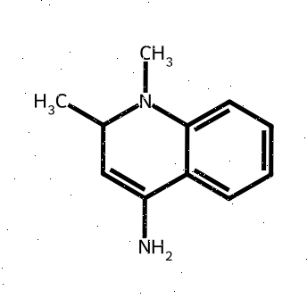 CC1C=C(N)c2ccccc2N1C